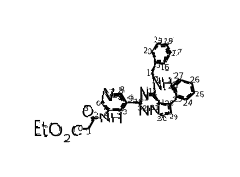 CCOC(=O)CC(=O)Nc1cncc(-c2nc(NCc3ccccc3)c3c(-c4ccccc4)ccn3n2)c1